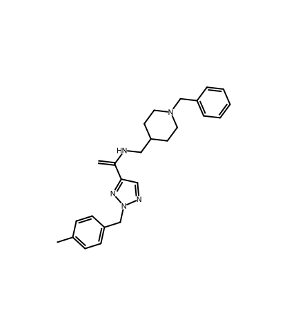 C=C(NCC1CCN(Cc2ccccc2)CC1)c1cnn(Cc2ccc(C)cc2)n1